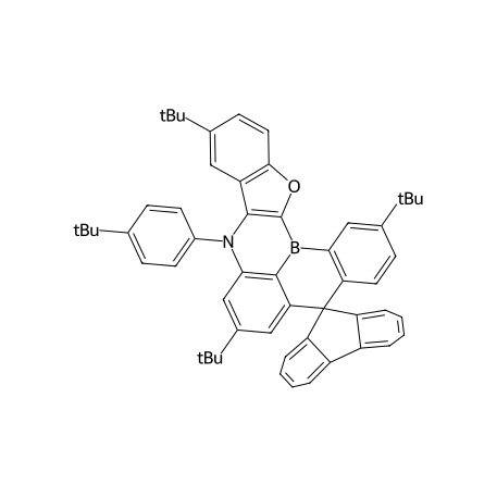 CC(C)(C)c1ccc(N2c3cc(C(C)(C)C)cc4c3B(c3cc(C(C)(C)C)ccc3C43c4ccccc4-c4ccccc43)c3oc4ccc(C(C)(C)C)cc4c32)cc1